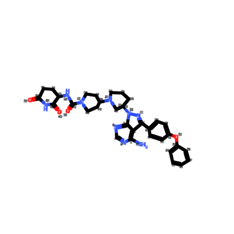 Nc1ncnc2c1c(-c1ccc(Oc3ccccc3)cc1)nn2[C@@H]1CCCN(C2CCN(C(=O)NC3CCC(=O)NC3=O)CC2)C1